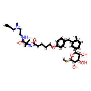 C#CCN(C)CCNC(=O)C(C)(C)NC(=O)CCCCOc1ccc(Cc2cc([C@@H]3O[C@H](SC)[C@@H](O)[C@H](O)[C@H]3O)ccc2C)cc1